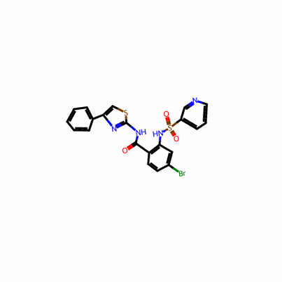 O=C(Nc1nc(-c2ccccc2)cs1)c1ccc(Br)cc1NS(=O)(=O)c1cccnc1